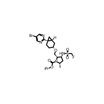 CC(C)OC(=O)N1[C@H](C)C[C@H](NS(=O)(=O)CF)[C@@H]1CO[C@@H]1CC[C@]2(c3ncc(Br)cn3)C[C@@H]2C1